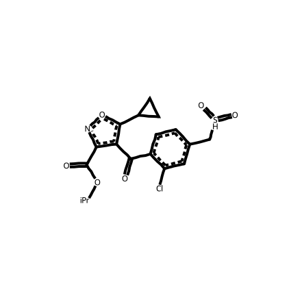 CC(C)OC(=O)c1noc(C2CC2)c1C(=O)c1ccc(C[SH](=O)=O)cc1Cl